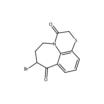 O=C1c2cccc3c2N(CCC1Br)C(=O)CS3